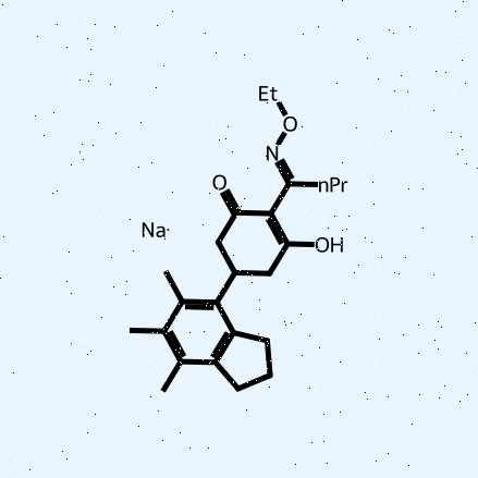 CCCC(=NOCC)C1=C(O)CC(c2c(C)c(C)c(C)c3c2CCC3)CC1=O.[Na]